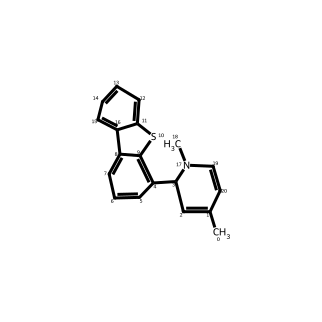 CC1=CC(c2cccc3c2sc2ccccc23)N(C)C=C1